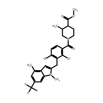 COC(=O)C1CCN(C(=O)c2ccc(Cl)c(Cc3cc4c(C)cc(C(F)(F)F)cc4n3C)c2Cl)CC1C